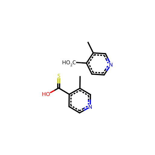 Cc1cnccc1C(=O)O.Cc1cnccc1C(O)=S